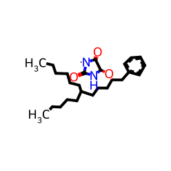 CCCCCCC(CCCCC)CCCC(Cc1ccccc1)OC1NC(=O)[N]C1=O